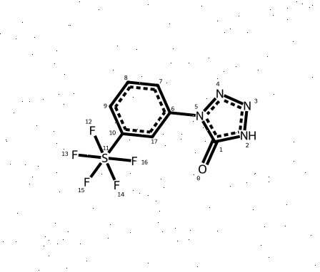 O=c1[nH]nnn1-c1cccc(S(F)(F)(F)(F)F)c1